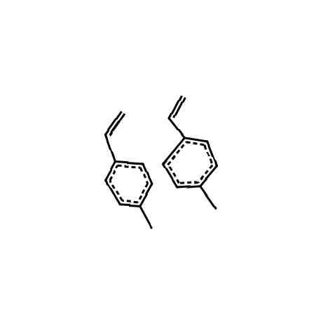 C=Cc1ccc(C)cc1.C=Cc1ccc(C)cc1